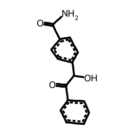 NC(=O)c1ccc(C(O)C(=O)c2ccccc2)cc1